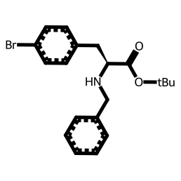 CC(C)(C)OC(=O)[C@H](Cc1ccc(Br)cc1)NCc1ccccc1